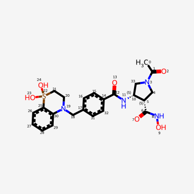 CC(=O)N1C[C@H](C(=O)NO)[C@H](NC(=O)c2ccc(CN3CCS(O)(O)c4ccccc43)cc2)C1